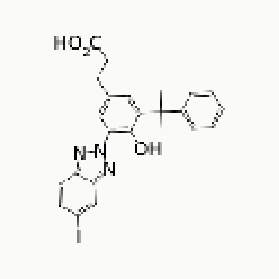 CC(C)(c1ccccc1)c1cc(CCC(=O)O)cc(-n2nc3ccc(I)cc3n2)c1O